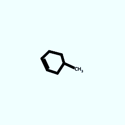 C[C]1CC=CCC1